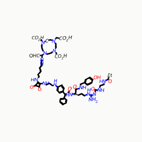 CCC(=O)NCCNC(=O)/N=C(/N)NCCC[C@@H](NC(=O)[C@H](c1ccccc1)c1ccc(NCCCNc2c(NCCCCCCNC(C=O)N3CCN(CC(=O)O)CCN(CC(=O)O)CCN(CC(=O)O)CC3)c(=O)c2=O)cc1)C(=O)NCc1ccc(O)cc1